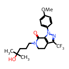 COc1ccc(-n2nc(C(F)(F)F)c3c2C(=O)N(CCCC(C)(C)O)CC3)cc1